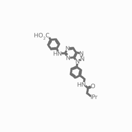 CC(C)CC(=O)NCc1cccc(-n2nnc3cnc(Nc4ccc(C(=O)O)cc4)nc32)c1